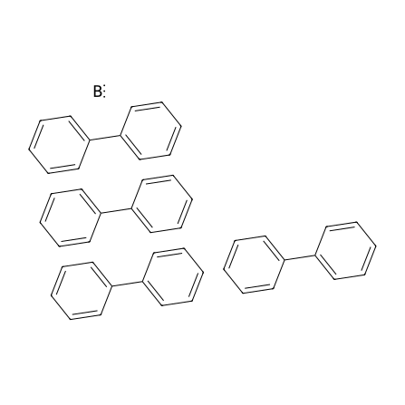 [B].c1ccc(-c2ccccc2)cc1.c1ccc(-c2ccccc2)cc1.c1ccc(-c2ccccc2)cc1.c1ccc(-c2ccccc2)cc1